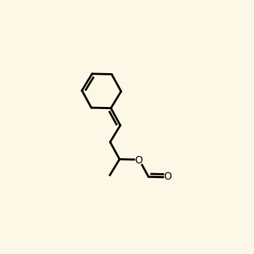 CC(CC=C1CC=CCC1)OC=O